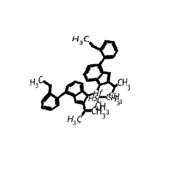 CCc1ccccc1-c1cccc2c1C=C(C(C)C)[CH]2[Hf]([CH]1C(C(C)C)=Cc2c(-c3ccccc3CC)cccc21)[SiH](C)C